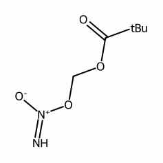 CC(C)(C)C(=O)OCO[N+](=N)[O-]